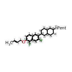 CC=CCOc1ccc2cc(C3CCC4CC(CCCCC)CCC4C3)c(F)cc2c1F